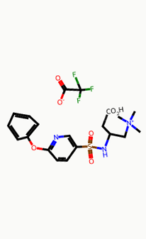 C[N+](C)(C)CC(CC(=O)O)NS(=O)(=O)c1ccc(Oc2ccccc2)nc1.O=C([O-])C(F)(F)F